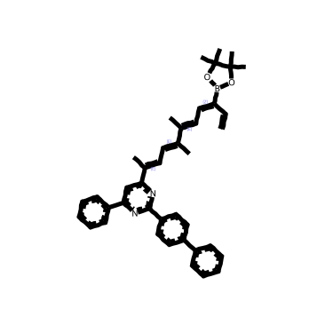 C=C\C(=C/C=C(C)/C(C)=C/C=C(\C)c1cc(-c2ccccc2)nc(-c2ccc(-c3ccccc3)cc2)n1)B1OC(C)(C)C(C)(C)O1